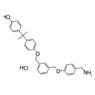 CC(C)(c1ccc(O)cc1)c1ccc(OCc2cccc(COc3ccc(CN)cc3)c2)cc1.Cl